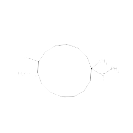 CCC1CCCCCC(C)(NP)CCCCCC[C@@H]1C